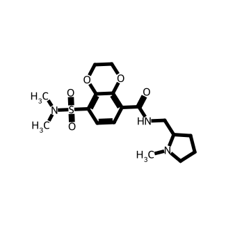 CN1CCCC1CNC(=O)c1ccc(S(=O)(=O)N(C)C)c2c1OCCO2